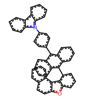 c1ccc2c(c1)ccc1oc3cccc(-c4c5ccccc5c(-c5ccc(-n6c7ccccc7c7ccccc76)cc5)c5ccccc45)c3c12